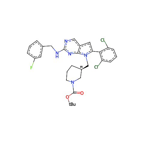 CC(C)(C)OC(=O)N1CCC[C@@H](Cn2c(-c3c(Cl)cccc3Cl)cc3cnc(NCc4cccc(F)c4)nc32)C1